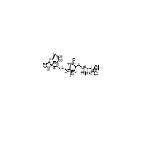 O=P(O)(O)CCCNCc1cc(F)c(SCCCCC2(c3ccccc3)COC2)cc1F